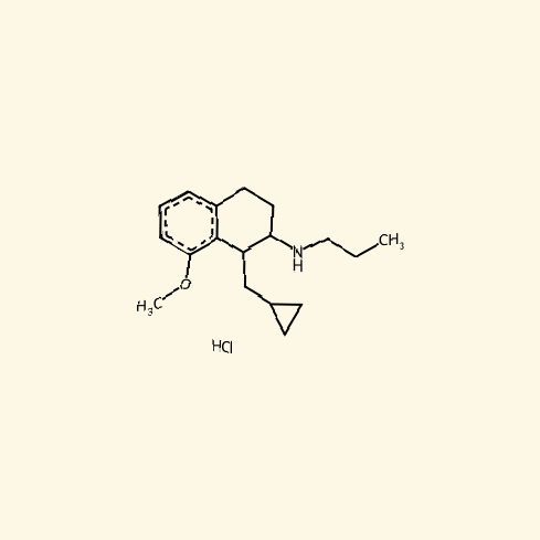 CCCNC1CCc2cccc(OC)c2C1CC1CC1.Cl